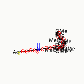 CC[C@H]1O[C@H](OC)[C@H](C)[C@@H](C)[C@@H]1O[C@@H]1O[C@@H](C)[C@@H](O[C@H]2O[C@H](CC)[C@@H](O[C@@H]3O[C@H](C)[C@@H](O[C@H]4O[C@H](CC)[C@@H](OCCOCCOCCOCCNC(=O)COCCOCCOCCOCCSC(C)=O)[C@H](OC)[C@H]4OC)[C@H](OC)[C@H]3OC)[C@H](C)[C@H]2C)[C@H](OC)[C@H]1OC